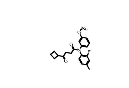 CCC(C)Oc1cccc(N(C(=O)CCC(=O)C2CCC2)c2ccc(C)cc2F)c1